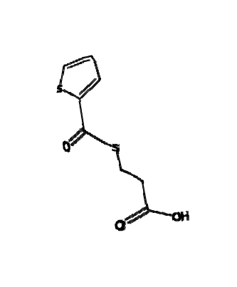 O=C(O)CCSC(=O)c1cccs1